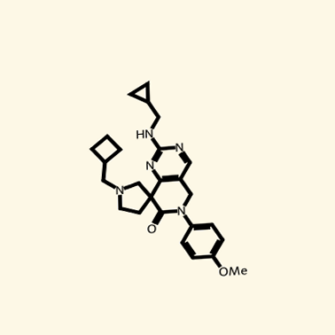 COc1ccc(N2Cc3cnc(NCC4CC4)nc3C3(CCN(CC4CCC4)C3)C2=O)cc1